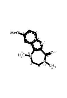 COc1ccc2sc3c(c2c1)N(C)CCN(C)C3=O